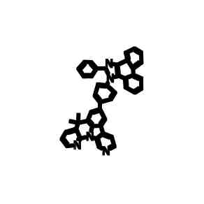 CC1(C)c2cccnc2-n2c3cnccc3c3cc(-c4ccc(-n5c(-c6ccccc6)nc6c7ccccc7c7ccccc7c65)cc4)cc1c32